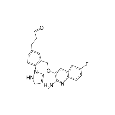 Nc1nc2ccc(F)cc2cc1OCc1cc(CCC=O)ccc1N1C=CCN1